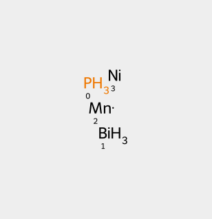 P.[BiH3].[Mn].[Ni]